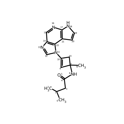 CC(C)CC(=O)NC1(C)C=C(n2cnc3cnc4[nH]ccc4c32)C1